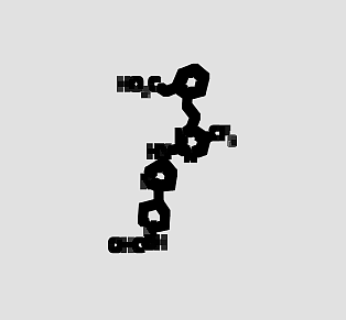 O=CBN1CCC(c2ccc(Nc3ncc(C(F)(F)F)c(CCc4ccccc4CC(=O)O)n3)cn2)CC1